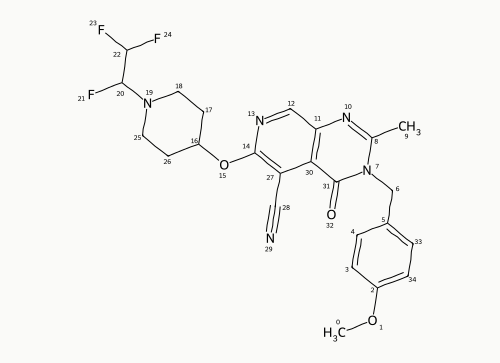 COc1ccc(Cn2c(C)nc3cnc(OC4CCN(C(F)C(F)F)CC4)c(C#N)c3c2=O)cc1